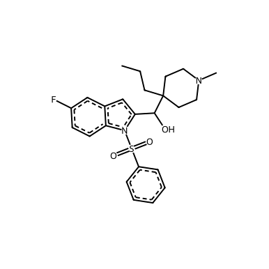 CCCC1(C(O)c2cc3cc(F)ccc3n2S(=O)(=O)c2ccccc2)CCN(C)CC1